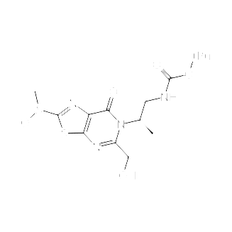 C[C@H](CNC(=O)OC(C)(C)C)n1c(CO)nc2sc([S+](C)[O-])nc2c1=O